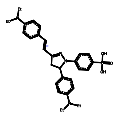 CCN(CC)c1ccc(/C=C/C2=NN(c3ccc(P(=O)(O)O)cc3)C(c3ccc(N(CC)CC)cc3)C2)cc1